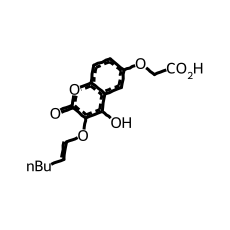 CCCCC=COc1c(O)c2cc(OCC(=O)O)ccc2oc1=O